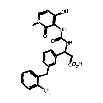 Cn1ccc(O)c(NC(=O)NC(CC(=O)O)c2cccc(Cc3ccccc3C(F)(F)F)c2)c1=O